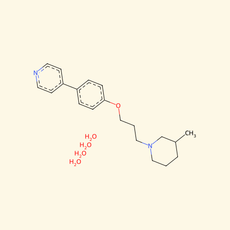 CC1CCCN(CCCOc2ccc(-c3ccncc3)cc2)C1.O.O.O.O